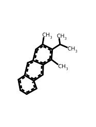 Cc1cc2cc3ccccc3cc2c(C)c1C(C)C